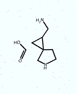 NCC1CC12CCNC2.O=CO